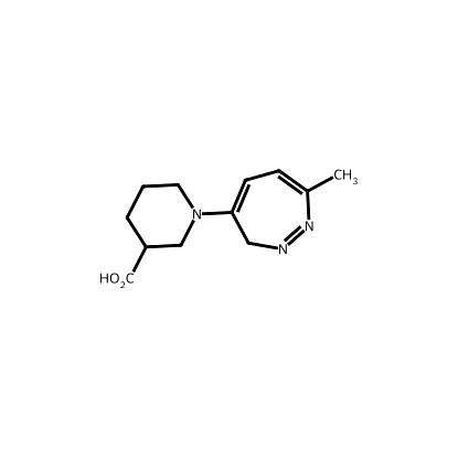 CC1=CC=C(N2CCCC(C(=O)O)C2)CN=N1